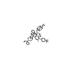 C=CC(=O)C1CCN(c2nc(=O)n3c4c(c(-c5ccc(F)cc5)c(C)cc24)SC[C@@H]3CN2CCN(C3CC3)CC2)CC1